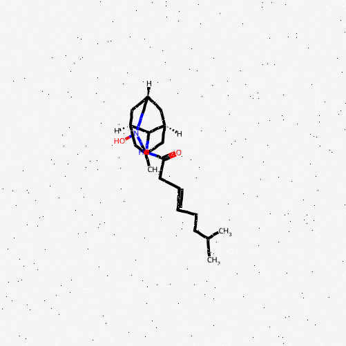 CC(C)CC/C=C/CC(=O)NC1[C@@H]2C[C@@H]3C[C@H]1CC(C)(C2)N3O